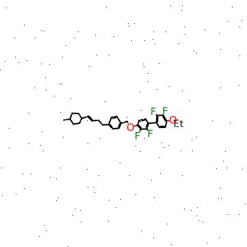 CCOc1ccc(-c2ccc(OCc3ccc(CC/C=C/C4CCC(C)CC4)cc3)c(F)c2F)c(F)c1F